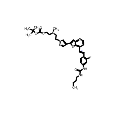 CCCCNC(=O)Nc1ccc(/C=C/c2ccnc3cc(-c4cnn(CCN(C)CCOC(=O)OC(C)(C)C)c4)sc23)c(F)c1